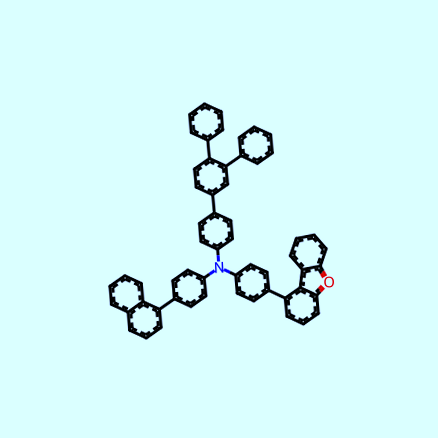 c1ccc(-c2ccc(-c3ccc(N(c4ccc(-c5cccc6ccccc56)cc4)c4ccc(-c5cccc6oc7ccccc7c56)cc4)cc3)cc2-c2ccccc2)cc1